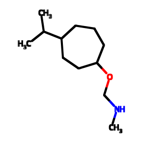 CNCOC1CCCC(C(C)C)CC1